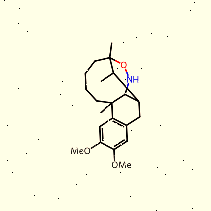 COc1cc2c(cc1OC)C1(C)CCCCC3(C)ONC1C(C2)C3C